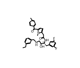 CCc1cccc(CNC[C@@H](O)[C@H](Cc2cc(F)cc(F)c2)NC(=O)Cc2ccc(C(=O)c3ccc(C)cc3)n2C)c1